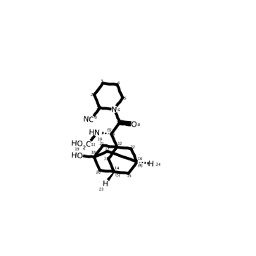 N#CC1CCCCN1C(=O)[C@@H](NC(=O)O)C12C[C@@H]3C[C@@H](CC(O)(C3)C1)C2